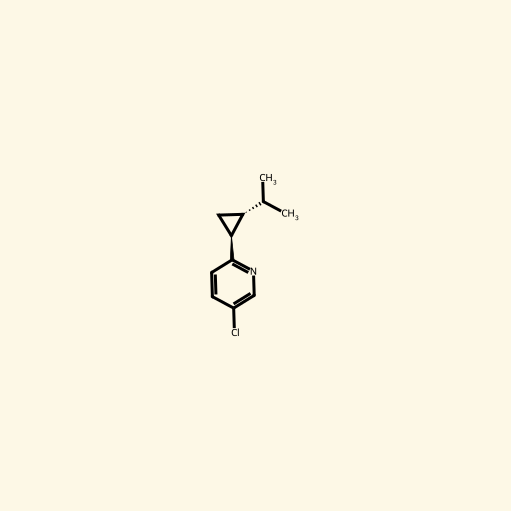 CC(C)[C@H]1C[C@@H]1c1ccc(Cl)cn1